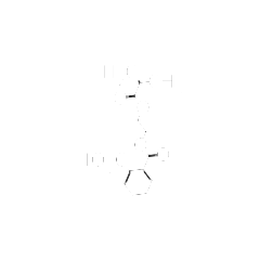 C=C(C)C(=O)OCCOC(=O)C1=CCCC=C1C(=O)O